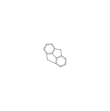 c1cc2c3c(c1)Cc1cccc(c1-3)C2